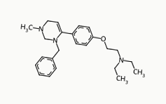 CCN(CC)CCOc1ccc(C2=CCN(C)CN2Cc2ccccc2)cc1